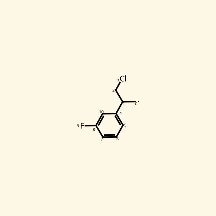 [CH2]C(CCl)c1cccc(F)c1